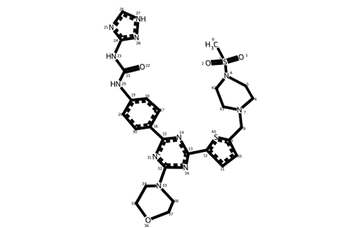 CS(=O)(=O)N1CCN(Cc2ccc(-c3nc(-c4ccc(NC(=O)Nc5nc[nH]n5)cc4)nc(N4CCOCC4)n3)s2)CC1